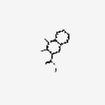 CC(C)(C)OC(=O)c1cc2ccccc2c(O)c1N